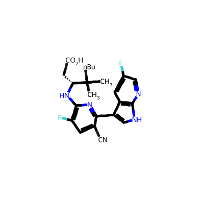 CCCCC(C)(C)[C@@H](CC(=O)O)Nc1nc(-c2c[nH]c3ncc(F)cc23)c(C#N)cc1F